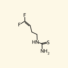 NC(=S)NCCC=C(F)F